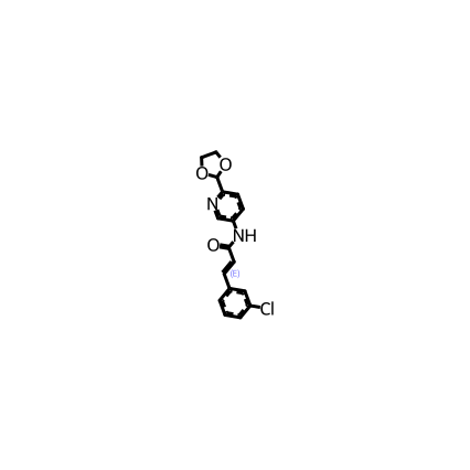 O=C(/C=C/c1cccc(Cl)c1)Nc1ccc(C2OCCO2)nc1